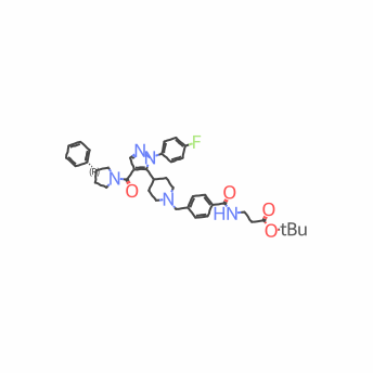 CC(C)(C)OC(=O)CCNC(=O)c1ccc(CN2CCC(c3c(C(=O)N4CC[C@H](c5ccccc5)C4)cnn3-c3ccc(F)cc3)CC2)cc1